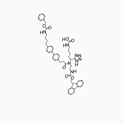 O=C(O)NCCCCC(c1nnn[nH]1)N(CCNC(=O)OCC1c2ccccc2-c2ccccc21)C(=O)CCc1ccc(-c2ccc(CCCCNC(=O)OCc3ccccc3)cc2)cc1